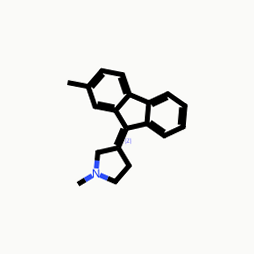 Cc1ccc2c(c1)/C(=C1/CCN(C)C1)c1ccccc1-2